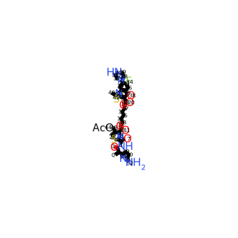 C=C(C(=O)N[C@@H]1C(=O)N2C(C(=O)OCCCCCOC(=O)c3c4n(c5cc(N6CCNCC6)c(F)cc5c3=O)C(C)S4)=C(COC(C)=O)CSC12)C1=CCC(N)=N1